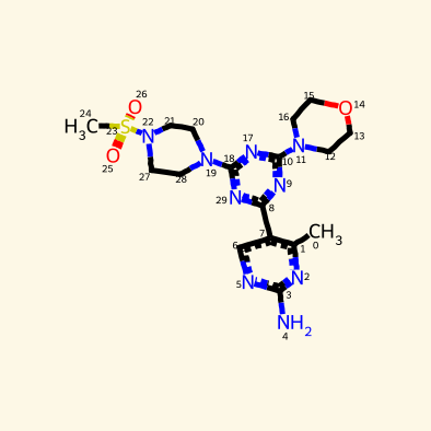 Cc1nc(N)ncc1-c1nc(N2CCOCC2)nc(N2CCN(S(C)(=O)=O)CC2)n1